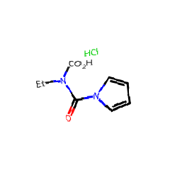 CCN(C(=O)O)C(=O)n1cccc1.Cl